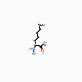 CCN[C@@H](CCCCNC)C(=O)CC